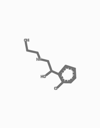 OCCNCC(O)c1ccccc1Cl